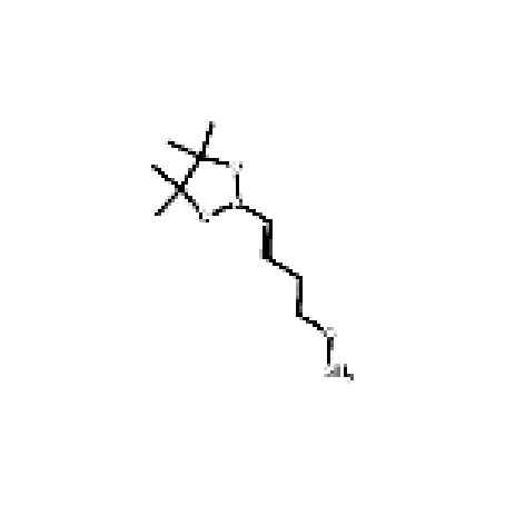 CC1(C)OB(C=CCCO[SiH3])OC1(C)C